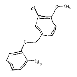 COc1ccc(COc2cc[c]cc2C)cc1Cl